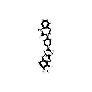 Cc1ccc(C[C@@H](OC(=O)N2CCC(N3CCc4ccccc4NC3=O)CC2)C(=O)O)cc1Br